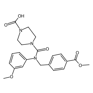 COC(=O)c1ccc(CN(C(=O)N2CCN(C(=O)O)CC2)c2cccc(OC)c2)cc1